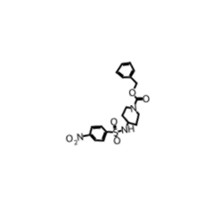 O=C(OCc1ccccc1)N1CCC(NS(=O)(=O)c2ccc([N+](=O)[O-])cc2)CC1